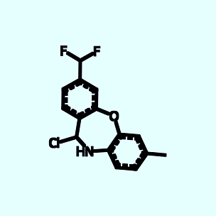 Cc1ccc2c(c1)Oc1cc(C(F)F)ccc1C(Cl)N2